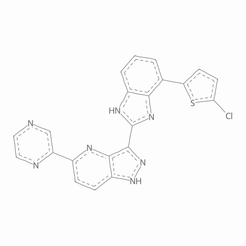 Clc1ccc(-c2cccc3[nH]c(-c4n[nH]c5ccc(-c6cnccn6)nc45)nc23)s1